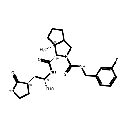 C[C@]12CCCC1CN(C(=S)NCc1cccc(F)c1)[C@@H]2C(=O)N[C@H](C=O)C[C@@H]1CCNC1=O